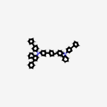 C1=c2c(n(-c3ccc(-c4ccccc4)cc3)c3ccc(-c4ccc(-c5ccc(N(c6ccc(-c7ccccc7)cc6)c6ccc(-c7ccccc7)c7ccccc67)cc5)cc4)cc23)=CCC1